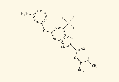 CNC(N)=NC(=O)c1cc2c(C(F)(F)F)cc(Oc3cccc(N)c3)cc2[nH]1